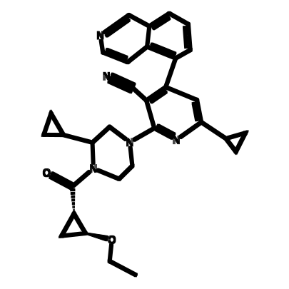 CCO[C@H]1C[C@@H]1C(=O)N1CCN(c2nc(C3CC3)cc(-c3cccc4cnccc34)c2C#N)CC1C1CC1